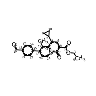 CCOC(=O)c1cc(C2CC2)c2c(C)c(-c3ccc(C=O)cc3)ccn2c1=O